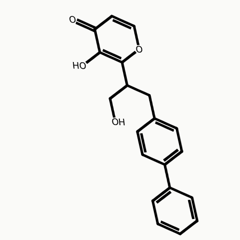 O=c1ccoc(C(CO)Cc2ccc(-c3ccccc3)cc2)c1O